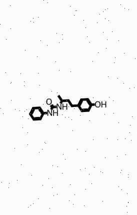 CC(CCc1ccc(O)cc1)NC(=O)Nc1ccccc1